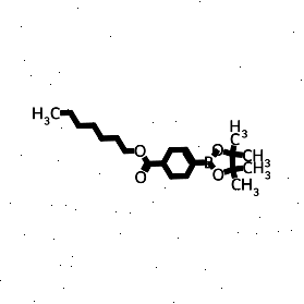 CCCCCCCOC(=O)C1CC=C(B2OC(C)(C)C(C)(C)O2)CC1